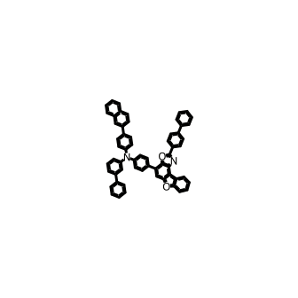 c1ccc(-c2ccc(-c3nc4c(o3)c(-c3ccc(N(c5ccc(-c6ccc7ccccc7c6)cc5)c5cccc(-c6ccccc6)c5)cc3)cc3oc5ccccc5c34)cc2)cc1